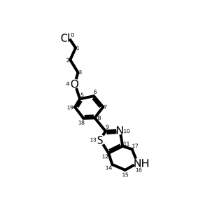 ClCCCOc1ccc(-c2nc3c(s2)CCNC3)cc1